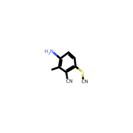 Cc1c(N)ccc(SC#N)c1C#N